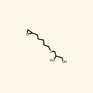 OCC(O)COCCCCCC1CO1